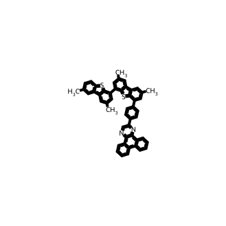 Cc1ccc2sc3c(-c4cc(C)cc5c4sc4c(-c6ccc(-c7cnc8c9ccccc9c9ccccc9c8n7)cc6)cc(C)cc45)cc(C)cc3c2c1